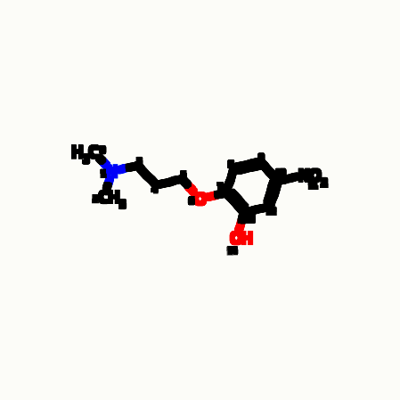 CN(C)CCCOc1ccc([N+](=O)[O-])cc1O